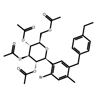 CCc1ccc(Cc2cc([C@@H]3O[C@H](COC(C)=O)[C@@H](OC(C)=O)[C@H](OC(C)=O)[C@H]3OC(C)=O)c(Br)cc2C)cc1